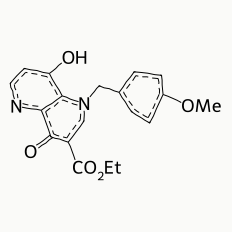 CCOC(=O)c1cn(Cc2ccc(OC)cc2)c2c(O)ccnc2c1=O